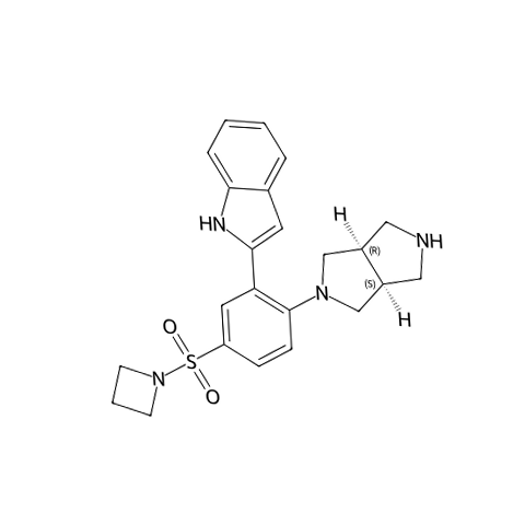 O=S(=O)(c1ccc(N2C[C@H]3CNC[C@H]3C2)c(-c2cc3ccccc3[nH]2)c1)N1CCC1